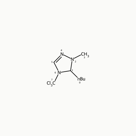 CCCCC1N(C)N=CN1C(Cl)(Cl)Cl